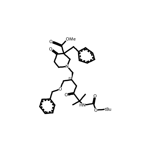 COC(=O)C1(Cc2ccccc2)CN(C[C@H](COCc2ccccc2)CC(=O)C(C)(C)NC(=O)OC(C)(C)C)CCC1=O